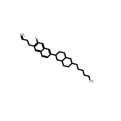 C=CCCc1cc2ccc(C3CCC4CC(CCCCCC)CCC4C3)cc2cc1F